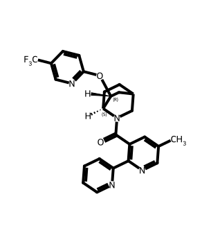 Cc1cnc(-c2ccccn2)c(C(=O)N2CC3CC[C@H]2[C@H](Oc2ccc(C(F)(F)F)cn2)C3)c1